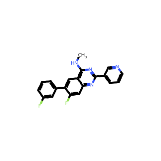 CNc1nc(-c2cccnc2)nc2cc(F)c(-c3cccc(F)c3)cc12